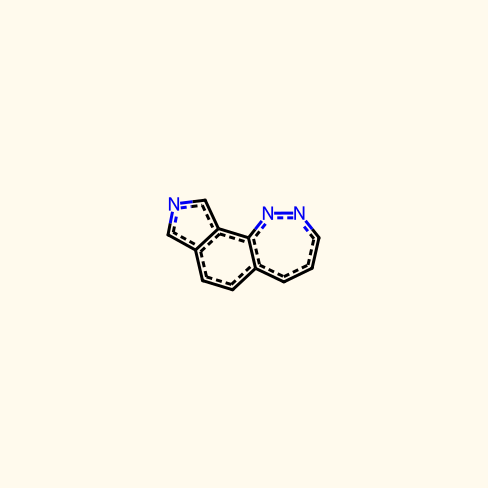 c1cnnc2c(c1)ccc1cncc12